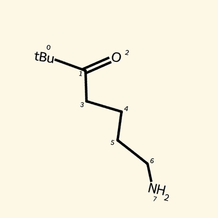 CC(C)(C)C(=O)CCCCN